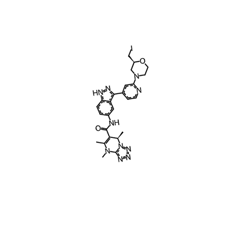 CC1=C(C(=O)Nc2ccc3[nH]nc(-c4ccnc(N5CCO[C@H](CI)C5)c4)c3c2)[C@@H](C)n2nnnc2N1C